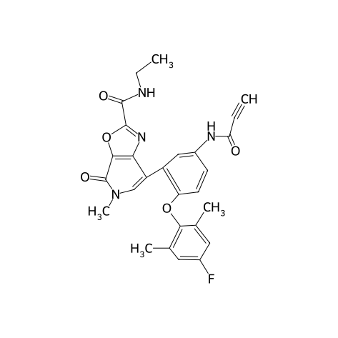 C#CC(=O)Nc1ccc(Oc2c(C)cc(F)cc2C)c(-c2cn(C)c(=O)c3oc(C(=O)NCC)nc23)c1